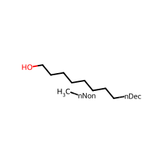 CCCCCCCCCC.CCCCCCCCCCCCCCCCCCO